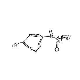 CCCc1ccc(N[SH](=O)=O)cc1